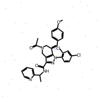 COc1ccc(/C=C2\CN(C(C)=O)Cc3c(C(=O)NC(C)c4ccccn4)nn(-c4ccc(Cl)cc4Cl)c32)cc1